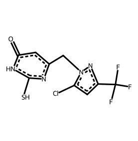 O=c1cc(Cn2nc(C(F)(F)F)cc2Cl)nc(S)[nH]1